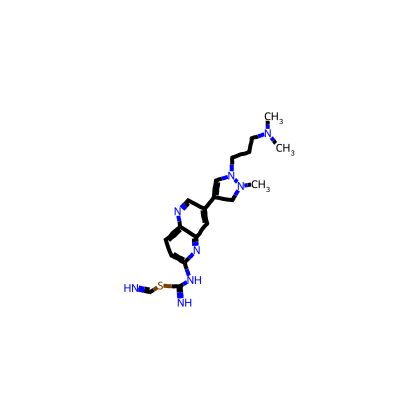 CN(C)CCCN1C=C(c2cnc3ccc(NC(=N)SC=N)nc3c2)CN1C